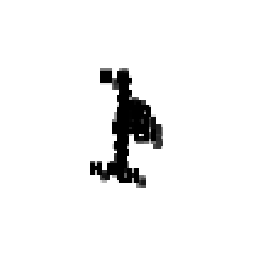 CC(N)O.CCCCCCCCCCCCCCCCN(C)C.O=[N+]([O-])O